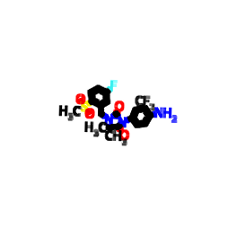 CC1(C)C(=O)N(c2ccc(N)c(C(F)(F)F)c2)C(=O)N1Cc1cc(F)ccc1S(C)(=O)=O